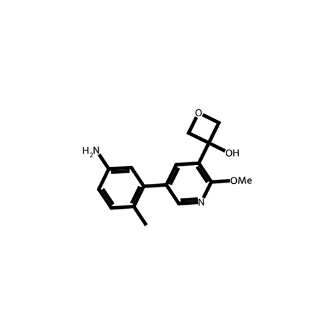 COc1ncc(-c2cc(N)ccc2C)cc1C1(O)COC1